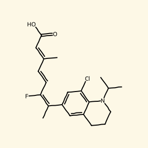 CC(/C=C/C(F)=C(/C)c1cc(Cl)c2c(c1)CCCN2C(C)C)=C\C(=O)O